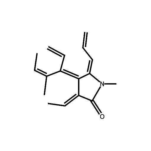 C=C\C=C1C(=C(C=C)/C(C)=C\C)/C(=C\C)C(=O)N/1C